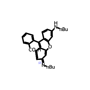 CCCC/N=c1/ccc2c(-c3ccccc3C(=O)O)c3ccc(NCCCC)cc3oc-2c1